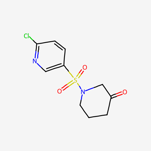 O=C1CCCN(S(=O)(=O)c2ccc(Cl)nc2)C1